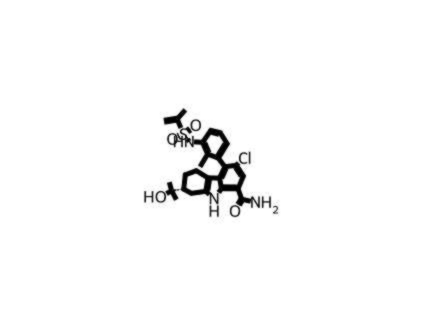 C=C(C)S(=O)(=O)Nc1cccc(-c2c(Cl)cc(C(N)=O)c3[nH]c4c(c23)CC[C@@H](C(C)(C)O)C4)c1C